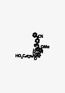 COc1cnc(-n2cnc(C(=O)NCCOCCC(=O)O)n2)c2[nH]cc(CC(=O)N3CCC(=C(C#N)c4ccccc4)CC3)c12